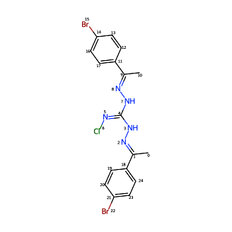 C/C(=N\NC(=NCl)N/N=C(\C)c1ccc(Br)cc1)c1ccc(Br)cc1